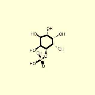 O=P(O)(O)O[C@H]1[C@@H](O)[C@@H](O)[C@H](O)[C@H](O)[C@@H]1O